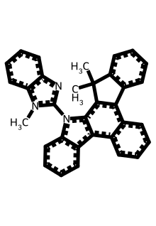 Cn1c(-n2c3ccccc3c3c4ccccc4c4c(c32)C(C)(C)c2ccccc2-4)nc2ccccc21